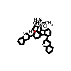 CC1=Cc2c(-c3cnc4ccccc4c3)cccc2[CH]1[Zr]([Cl])([Cl])([CH]1C(C)=Cc2c(-c3cnc4ccccc4c3)cccc21)[SiH](C)C